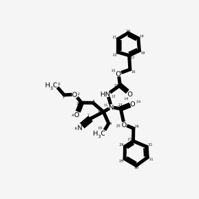 CCOC(=O)CC(C#N)(CC)N(NC(=O)OCc1ccccc1)C(=O)OCc1ccccc1